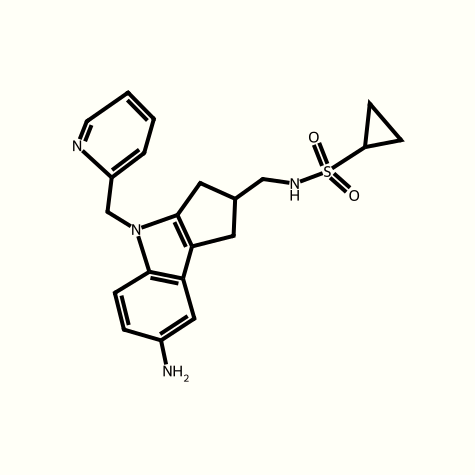 Nc1ccc2c(c1)c1c(n2Cc2ccccn2)CC(CNS(=O)(=O)C2CC2)C1